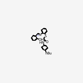 CCCCc1ccc(NC(=O)CSc2ccccc2/N=C/c2ccccc2O)cc1